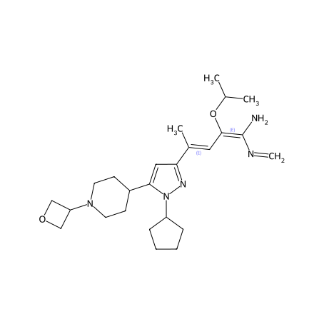 C=N/C(N)=C(\C=C(/C)c1cc(C2CCN(C3COC3)CC2)n(C2CCCC2)n1)OC(C)C